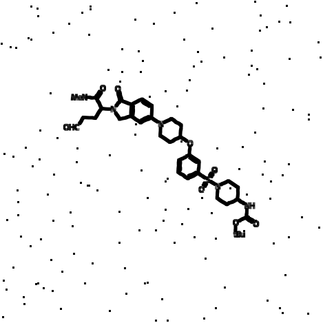 CNC(=O)C(CCC=O)N1Cc2cc(N3CCC(Oc4cccc(S(=O)(=O)N5CCC(NC(=O)OC(C)(C)C)CC5)c4)CC3)ccc2C1=O